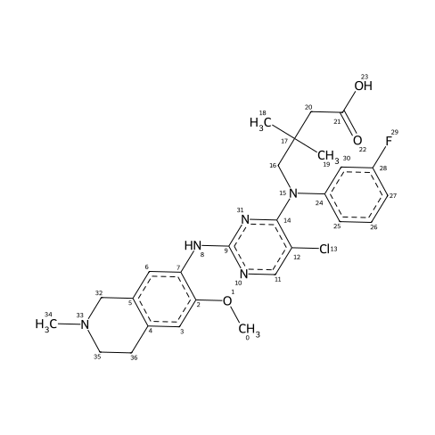 COc1cc2c(cc1Nc1ncc(Cl)c(N(CC(C)(C)CC(=O)O)c3cccc(F)c3)n1)CN(C)CC2